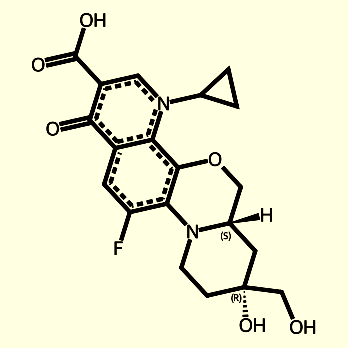 O=C(O)c1cn(C2CC2)c2c3c(c(F)cc2c1=O)N1CC[C@](O)(CO)C[C@H]1CO3